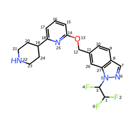 FC(F)C(F)n1ncc2ccc(COc3cccc(C4CCNCC4)n3)cc21